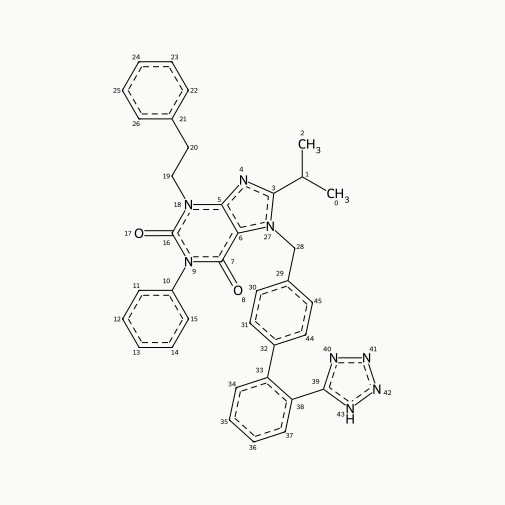 CC(C)c1nc2c(c(=O)n(-c3ccccc3)c(=O)n2CCc2ccccc2)n1Cc1ccc(-c2ccccc2-c2nnn[nH]2)cc1